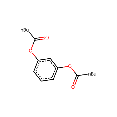 CCCCC(=O)Oc1cccc(OC(=O)CCCC)c1